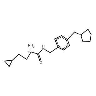 N[C@@H](CCC1CC1)C(=O)NCc1ccc(CN2CCCC2)cc1